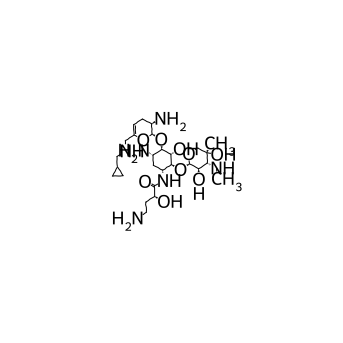 CN[C@@H]1[C@@H](O)[C@@H](O[C@@H]2[C@@H](O)[C@H](O[C@H]3OC(CNCC4CC4)=CC[C@H]3N)[C@@H](N)C[C@H]2NC(=O)[C@@H](O)CCN)OC[C@]1(C)O